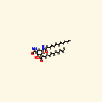 CCCCCCCCCCCC(=O)NC1CCCC(C(N)=O)C1.CCCCCCCCCCCC(=O)O